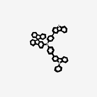 c1ccc(-n2c3ccccc3c3cc(-c4ccc(N(c5ccc(-c6ccc7sc8ccccc8c7c6)cc5)c5ccc6c(c5)C5(c7ccccc7-c7ccccc75)c5ccccc5-6)cc4)ccc32)cc1